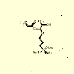 C=CC(=O)OC(OCCC[Si](OC)(OC)OC)C(C)O